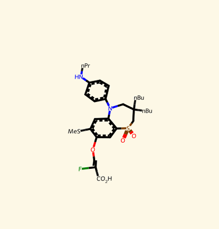 CCCCC1(CCCC)CN(c2ccc(NCCC)cc2)c2cc(SC)c(O/C=C(\F)C(=O)O)cc2S(=O)(=O)C1